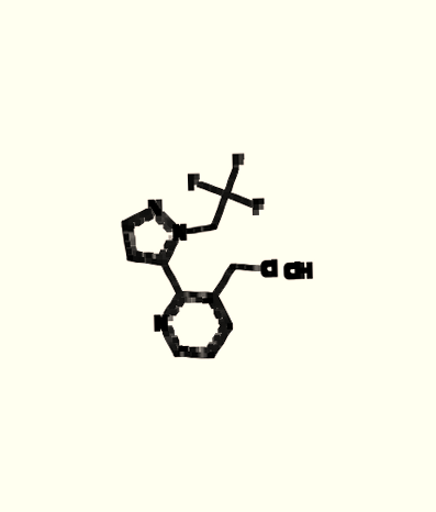 Cl.FC(F)(F)Cn1nccc1-c1ncccc1CCl